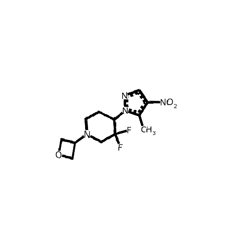 Cc1c([N+](=O)[O-])cnn1C1CCN(C2COC2)CC1(F)F